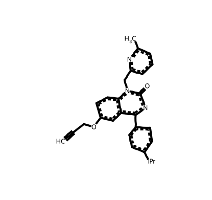 C#CCOc1ccc2c(c1)c(-c1ccc(C(C)C)cc1)nc(=O)n2Cc1cccc(C)n1